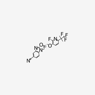 CC(C)(c1ccc(OC[C@@H]2Cn3c(nc4cc(C#N)ccc43)O2)c(F)n1)C(F)(F)F